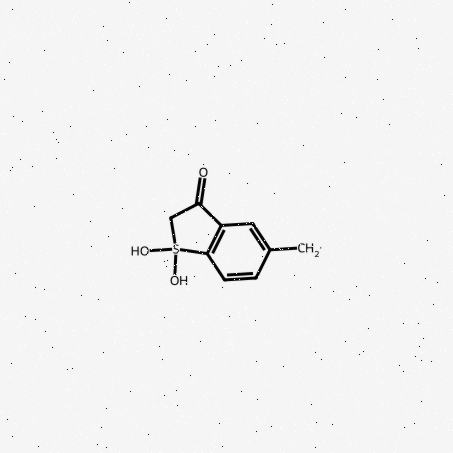 [CH2]c1ccc2c(c1)C(=O)CS2(O)O